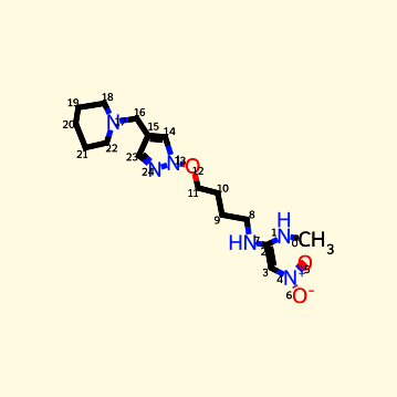 CNC(=C[N+](=O)[O-])NCCCCOn1cc(CN2CCCCC2)cn1